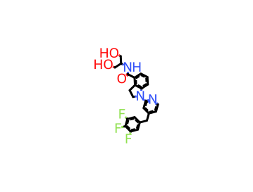 O=C(NC(CO)CO)c1cccc2c1CCN2c1cc(Cc2cc(F)c(F)c(F)c2)ccn1